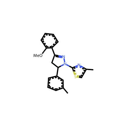 COc1ccccc1C1=NN(c2nc(C)cs2)C(c2cccc(C)c2)C1